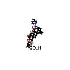 C=C1CCN(C(=O)C[C@]23CC[C@@H](C(=C)C)[C@@H]2[C@H]2CC[C@@H]4[C@@]5(C)CC[C@H](OC(=O)CC(C)(C)CC(=O)O)C(C)(C)[C@@H]5CC[C@@]4(C)[C@]2(C)CC3)CC1